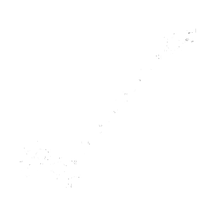 Cc1nn(-c2ccc(C(N)=O)c(NCCCOCCOCCOCCOCCOCCCNCc3ccc(B(O)O)cc3)c2)c2c1C(=O)CC(C)(C)C2